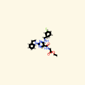 CCOC(=O)CNC(=O)c1cnc(N2CCc3ccccc32)nc1NCc1cccc(F)c1